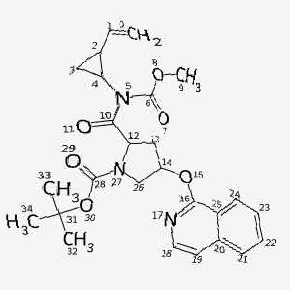 C=CC1CC1N(C(=O)OC)C(=O)C1CC(Oc2nccc3ccccc23)CN1C(=O)OC(C)(C)C